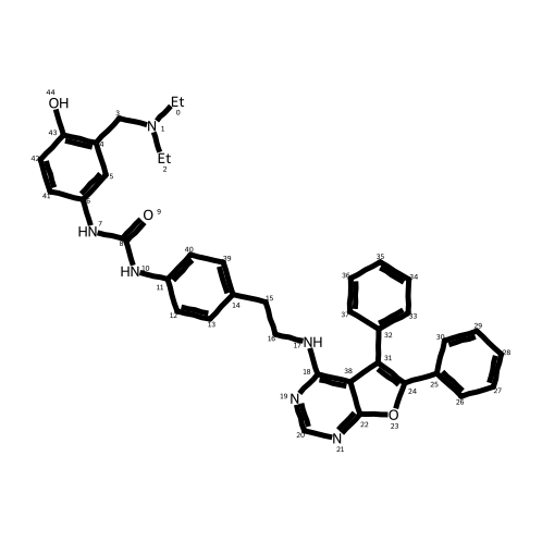 CCN(CC)Cc1cc(NC(=O)Nc2ccc(CCNc3ncnc4oc(-c5ccccc5)c(-c5ccccc5)c34)cc2)ccc1O